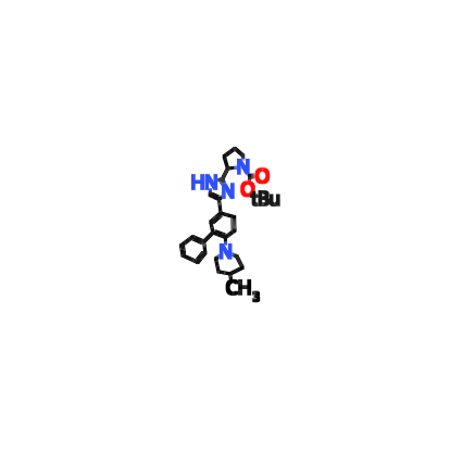 CC1CCN(c2ccc(-c3c[nH]c(C4CCCN4C(=O)OC(C)(C)C)n3)cc2-c2ccccc2)CC1